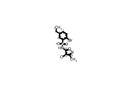 CCc1ccc(Br)c(S(=O)(=O)Nc2onc(C)c2Cl)c1